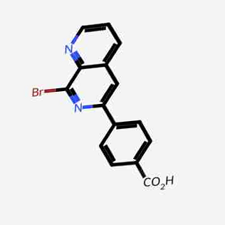 O=C(O)c1ccc(-c2cc3cccnc3c(Br)n2)cc1